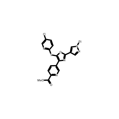 CCn1cc(-c2nc(-c3ccc(C(=O)OC)nc3)c(Sc3ccc(Cl)cn3)o2)cn1